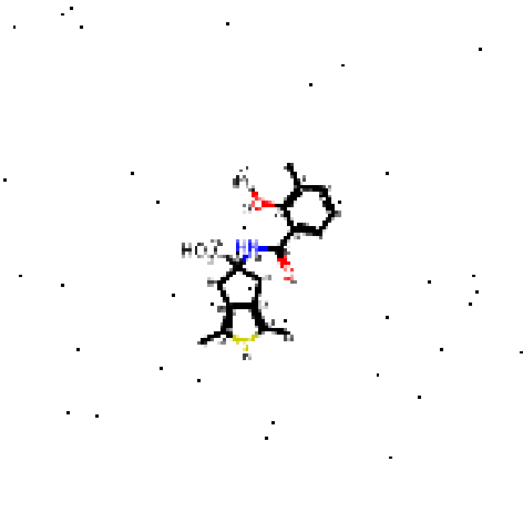 Cc1cccc(C(=O)NC2(C(=O)O)Cc3c(C)sc(C)c3C2)c1OC(C)C